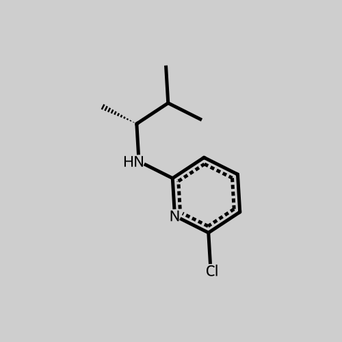 CC(C)[C@@H](C)Nc1cccc(Cl)n1